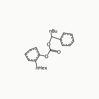 CCCCCCc1ccccc1OC(=O)OC(CCCC)c1ccccc1